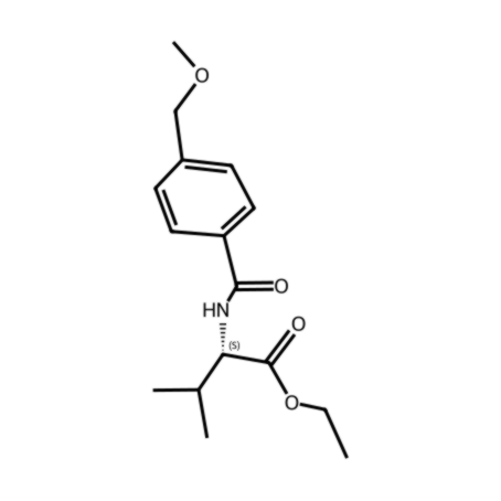 CCOC(=O)[C@@H](NC(=O)c1ccc(COC)cc1)C(C)C